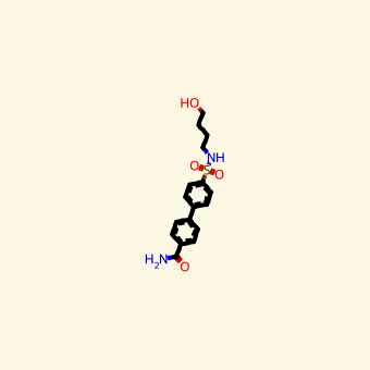 NC(=O)c1ccc(-c2ccc(S(=O)(=O)NCCCCO)cc2)cc1